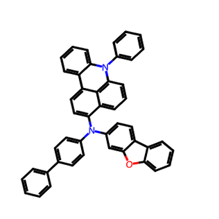 c1ccc(-c2ccc(N(c3ccc4c(c3)oc3ccccc34)c3ccc4c5c(cccc35)N(c3ccccc3)c3ccccc3-4)cc2)cc1